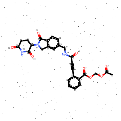 CC(=O)OCOC(=O)c1ccccc1C#CC(=O)NCc1ccc2c(c1)CN(C1CCC(=O)NC1=O)C2=O